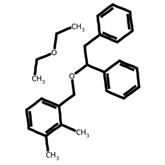 CCOCC.Cc1cccc(COC(Cc2ccccc2)c2ccccc2)c1C